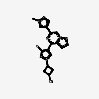 Cn1cc(-c2cn3nccc3c(-c3cn(C4CC(C#N)C4)nc3F)n2)cn1